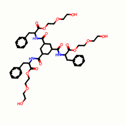 O=C(NC(Cc1ccccc1)C(=O)OCCOCCO)C1CC(C(=O)NC(Cc2ccccc2)C(=O)OCCOCCO)CC(C(=O)NC(Cc2ccccc2)C(=O)OCCOCCO)C1